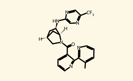 Cc1cccnc1-c1ncccc1C(=O)N1C[C@H]2C[C@@H](Nc3cnc(C(F)(F)F)cn3)[C@@H]1C2